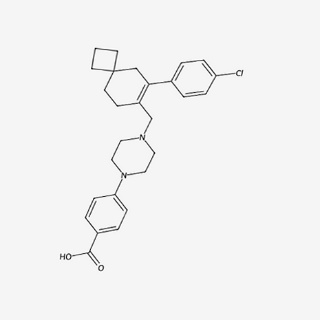 O=C(O)c1ccc(N2CCN(CC3=C(c4ccc(Cl)cc4)CC4(CCC4)CC3)CC2)cc1